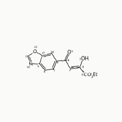 CCOC(=O)/C(O)=C/C(=O)c1ccc2ncoc2c1